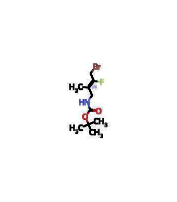 C/C(CNC(=O)OC(C)(C)C)=C(/F)CBr